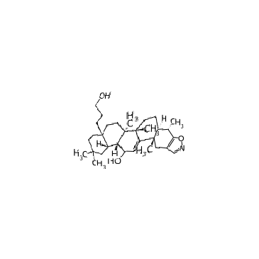 C[C@@H]1c2oncc2C[C@]2(C)C3=CC(O)[C@@H]4[C@@H]5CC(C)(C)CC[C@]5(CCCO)CC[C@@]4(C)[C@]3(C)CC[C@@H]12